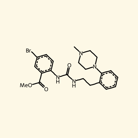 COC(=O)c1cc(Br)ccc1NC(=O)NCCc1ccccc1N1CCN(C)CC1